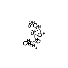 Cn1c(COc2cccc(-c3cc(F)c(Cc4nc5ccc(C(=O)O)cc5n4C[C@@H]4CCO4)cc3F)n2)nc2ccccc21